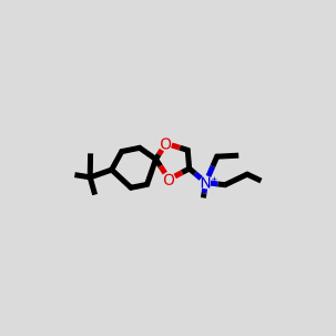 CCC[N+](C)(CC)C1COC2(CCC(C(C)(C)C)CC2)O1